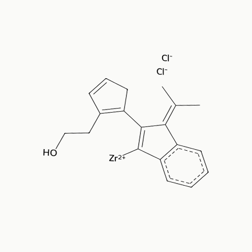 CC(C)=C1C(C2=C(CCO)C=CC2)=[C]([Zr+2])c2ccccc21.[Cl-].[Cl-]